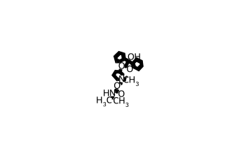 CC(C)NC(=O)OC[N+]1(C)CCCC(OC(=O)C(O)(c2ccccc2)c2ccccc2)C1